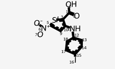 O=C(O)c1sc([N+](=O)[O-])cc1Nc1ccc(I)cc1